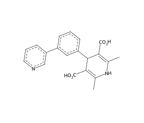 CC1=C(C(=O)O)C(c2cccc(-c3cccnc3)c2)C(C(=O)O)=C(C)N1